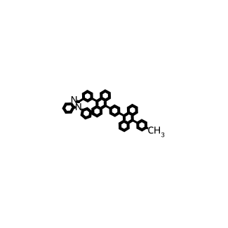 Cc1ccc(-c2c3ccccc3c(-c3ccc(-c4c5ccccc5c(-c5cccc(-c6nc7ccccc7n6-c6ccccc6)c5)c5ccccc45)cc3)c3ccccc23)cc1